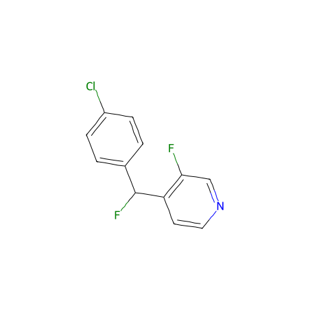 Fc1cnccc1C(F)c1ccc(Cl)cc1